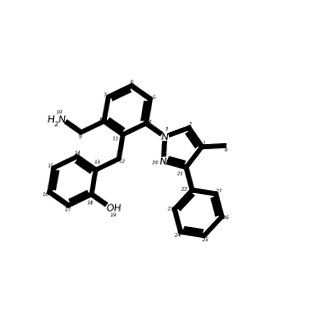 Cc1cn(-c2cccc(CN)c2Cc2ccccc2O)nc1-c1ccccc1